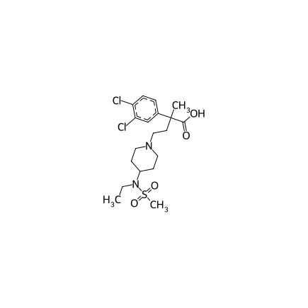 CCN(C1CCN(CCC(C)(C(=O)O)c2ccc(Cl)c(Cl)c2)CC1)S(C)(=O)=O